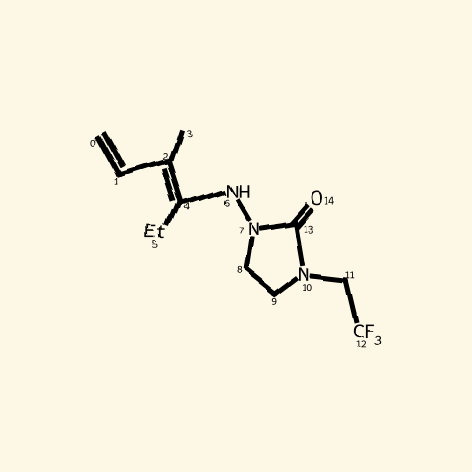 C=C/C(C)=C(\CC)NN1CCN(CC(F)(F)F)C1=O